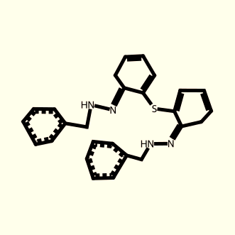 C1=CCC(=NNCc2ccccc2)C(SC2=CC=CCC2=NNCc2ccccc2)=C1